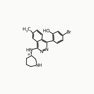 Cc1ccc2c(-c3ccc(Br)cc3O)nnc(N[C@@H]3CCCNC3)c2c1